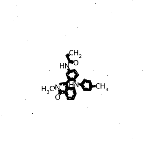 C=CC(=O)Nc1ccc(Nc2ccc(C)cc2)c(-c2cn(C)c(=O)c3ccccc23)c1